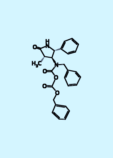 C[C@@H]1C(=O)N[C@H](c2ccccc2)[C@H]1N(Cc1ccccc1)C(=O)OC(=O)OCc1ccccc1